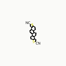 N#Cc1cc2c(ccc3c2ccc2c4ccc5sc(C#N)cc5c4ccc32)s1